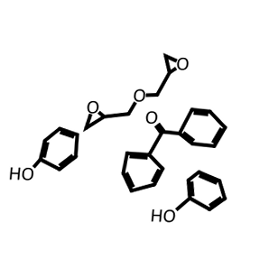 C(OCC1CO1)C1CO1.O=C(c1ccccc1)c1ccccc1.Oc1ccccc1.Oc1ccccc1